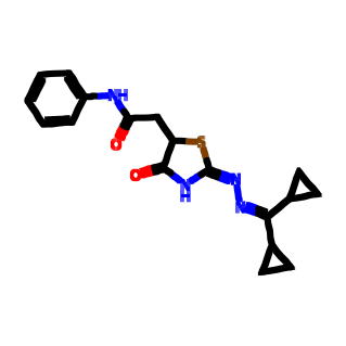 O=C(CC1S/C(=N/N=C(C2CC2)C2CC2)NC1=O)Nc1ccccc1